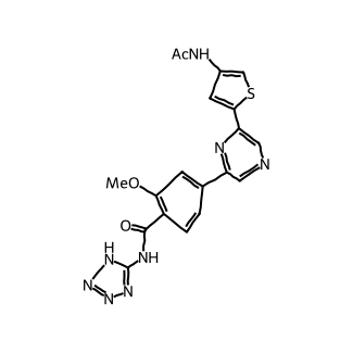 COc1cc(-c2cncc(-c3cc(NC(C)=O)cs3)n2)ccc1C(=O)Nc1nnn[nH]1